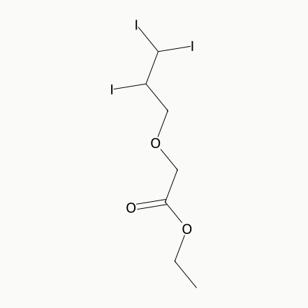 CCOC(=O)COCC(I)C(I)I